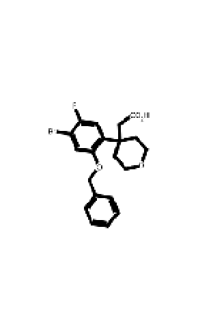 O=C(O)CC1(c2cc(F)c(Br)cc2OCc2ccccc2)CCOCC1